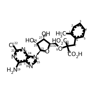 Cc1ccccc1CC(OC[C@H]1O[C@@H](n2cnc3c(N)nc(Cl)nc32)[C@H](O)[C@@H]1O)(C(=O)O)C(=O)O